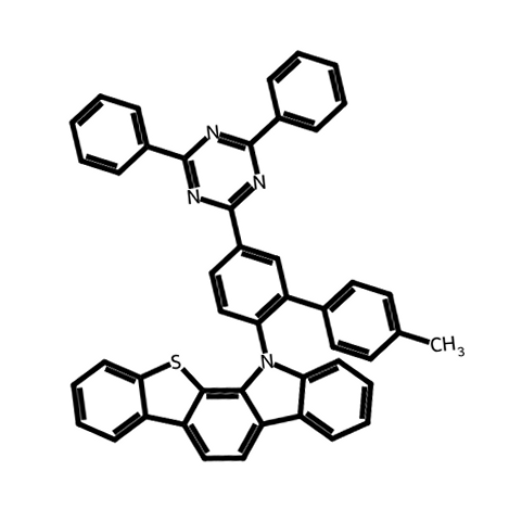 Cc1ccc(-c2cc(-c3nc(-c4ccccc4)nc(-c4ccccc4)n3)ccc2-n2c3ccccc3c3ccc4c5ccccc5sc4c32)cc1